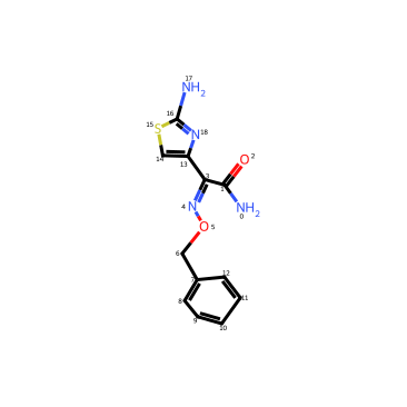 NC(=O)C(=NOCc1ccccc1)c1csc(N)n1